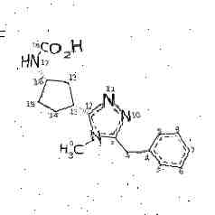 Cn1c(Cc2ccccc2)nnc1[C@@H]1CC[C@H](NC(=O)O)C1